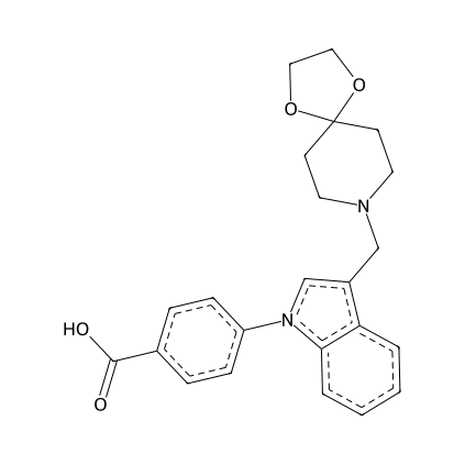 O=C(O)c1ccc(-n2cc(CN3CCC4(CC3)OCCO4)c3ccccc32)cc1